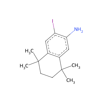 CC1(C)CCC(C)(C)c2cc(I)c(N)cc21